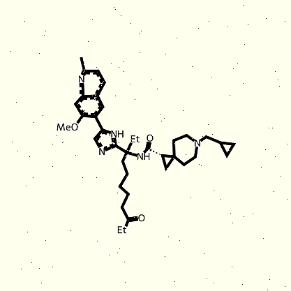 CCC(=O)CCCCCC(CC)(NC(=O)[C@H]1CC12CCN(CC1CC1)CC2)c1ncc(-c2cc3ccc(C)nc3cc2OC)[nH]1